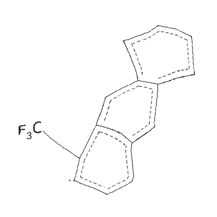 FC(F)(F)c1[c]ccc2cc3ccccc3cc12